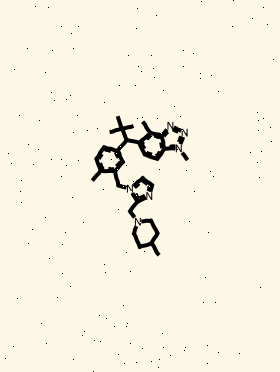 Cc1ccc(C(c2ccc3c(nnn3C)c2C)C(C)(C)C)cc1Cn1ccnc1CN1CCC(C)CC1